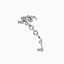 CC(CCN1CC=C(c2ccc(C#CCOCCCO)cc2)CC1)(C(=O)NO)S(C)(=O)=O